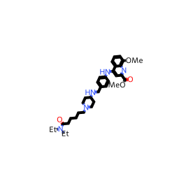 CCN(CC)C(=O)CCCCCN1CCC(NCc2ccc(Nc3cc(C(=O)OC)nc4c(OC)cccc34)cc2)CC1